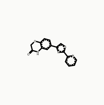 O=C1COc2ccc(-c3csc(-c4ccccn4)n3)cc2N1